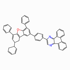 C1=CCC(C2C=C(c3ccccc3)c3oc4c(-c5ccccc5)cc(-c5ccc(-c6cnc7c8ccccc8c8ccccc8c7n6)cc5)cc4c3C2)C=C1